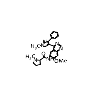 COc1cc2ncnc(-c3cn(C)nc3-c3ccccc3)c2cc1NC(=O)C1CCCN1C